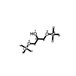 C[Si](C)(C)OCC(O)CO[Si](C)(C)C